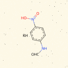 O=CNc1ccc([N+](=O)O)cc1.[KH]